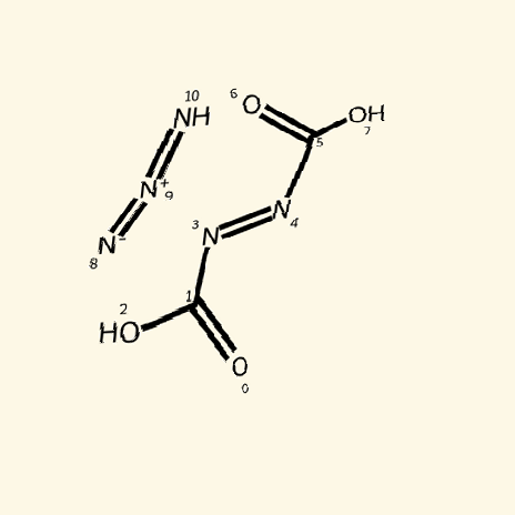 O=C(O)N=NC(=O)O.[N-]=[N+]=N